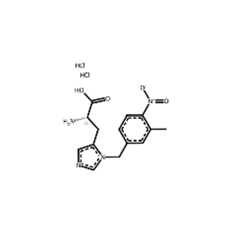 Cc1cc(Cn2cncc2C[C@H](N)C(=O)O)ccc1[N+](=O)[O-].Cl.Cl